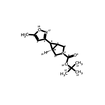 Cc1cc(C2C3CN(C(=O)OC(C)(C)C)C[C@H]32)no1